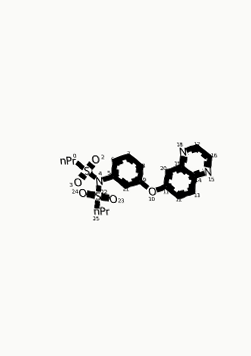 CCCS(=O)(=O)N(c1cccc(Oc2ccc3nccnc3c2)c1)S(=O)(=O)CCC